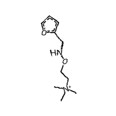 C[N+](C)(C)CCONCc1ccco1